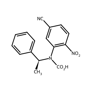 C[C@@H](c1ccccc1)N(C(=O)O)c1cc(C#N)ccc1[N+](=O)[O-]